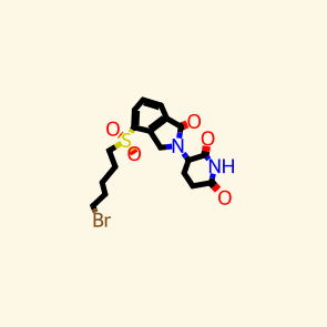 O=C1CCC(N2Cc3c(cccc3S(=O)(=O)CCCCCBr)C2=O)C(=O)N1